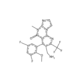 COc1c(F)cc(F)cc1-c1c(CN)c(C(F)(F)F)nc2c1c(=O)n(C)c1nccn21